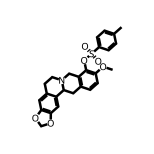 COc1ccc2c(c1OS(=O)(=O)c1ccc(C)cc1)CN1CCc3cc4c(cc3C1C2)OCO4